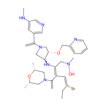 C=C(C(/C=C(/Br)CC)=C(/CN(C)O)N[C@H]1CN(C(=C)c2cncc(NC)c2)C[C@@H]1OCc1ccccn1)N1C[C@@H](C)O[C@@H](C)C1